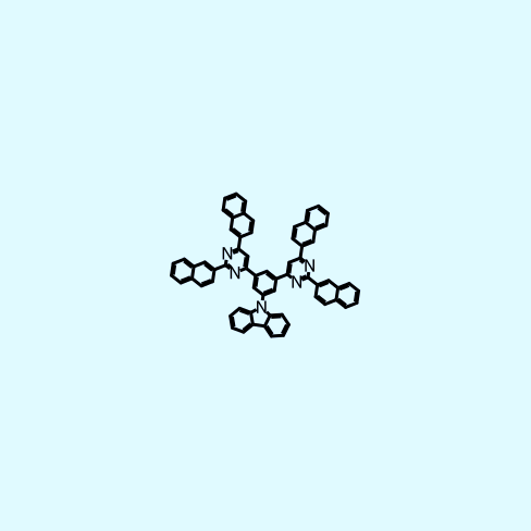 c1ccc2cc(-c3cc(-c4cc(-c5cc(-c6ccc7ccccc7c6)nc(-c6ccc7ccccc7c6)n5)cc(-n5c6ccccc6c6ccccc65)c4)nc(-c4ccc5ccccc5c4)n3)ccc2c1